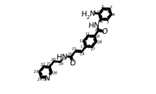 Nc1ccccc1NC(=O)c1ccc(C=CC(=O)NCCc2cccnc2)cc1